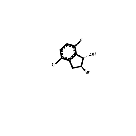 O[C@H]1c2c(F)ccc(Cl)c2C[C@@H]1Br